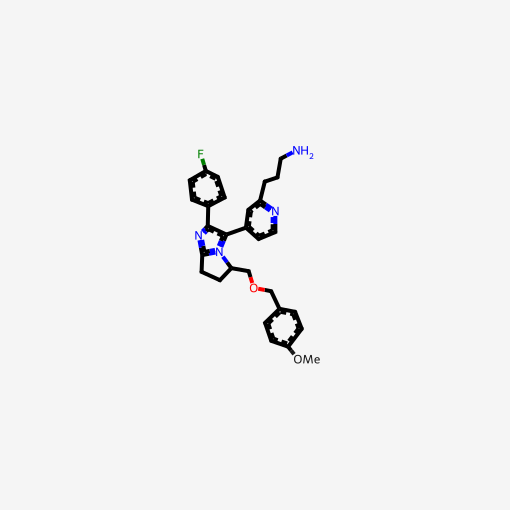 COc1ccc(COCC2CCc3nc(-c4ccc(F)cc4)c(-c4ccnc(CCCN)c4)n32)cc1